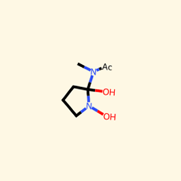 CC(=O)N(C)C1(O)CCCN1O